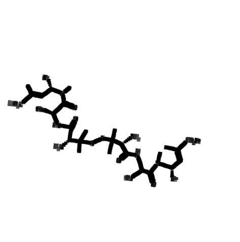 CCOC(=O)/C(C)=C/[C@H](C(C)C)N(C)C(=O)C(NC(=O)[C@@H](N)C(C)(C)SSC(C)(C)[C@H](N)C(=O)N[C@H](C(=O)N(C)[C@H](/C=C(\C)C(=O)OCC)C(C)C)C(C)(C)C)C(C)(C)C